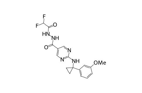 COc1cccc(C2(Nc3ncc(C(=O)NNC(=O)C(F)F)cn3)CC2)c1